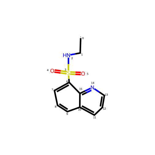 [CH2]CNS(=O)(=O)c1cccc2cccnc12